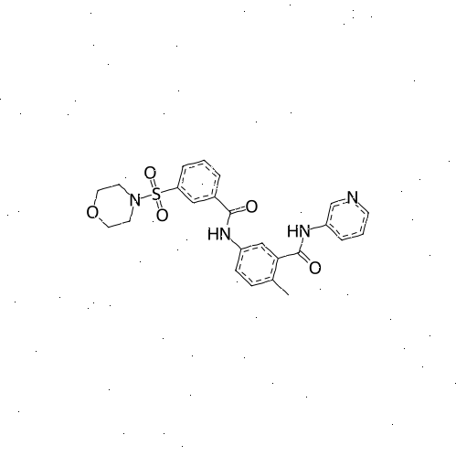 Cc1ccc(NC(=O)c2cccc(S(=O)(=O)N3CCOCC3)c2)cc1C(=O)Nc1cccnc1